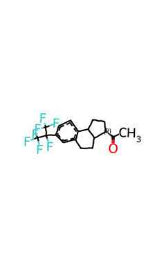 CC(=O)[C@@H]1CCC2c3ccc(C(F)(C(F)(F)F)C(F)(F)F)cc3CCC21